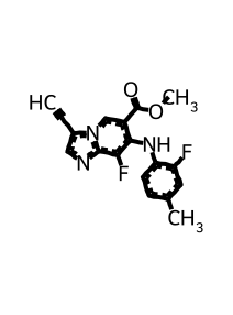 C#Cc1cnc2c(F)c(Nc3ccc(C)cc3F)c(C(=O)OC)cn12